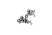 Nc1nc(OC(c2ccccc2F)C(F)(F)F)cc(-c2ccc(CC(N)C(=O)O)cc2)n1